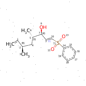 C=C[C@H](C)C[C@H](C)[C@@H](O)/C=C/S(=O)(=O)c1ccccc1